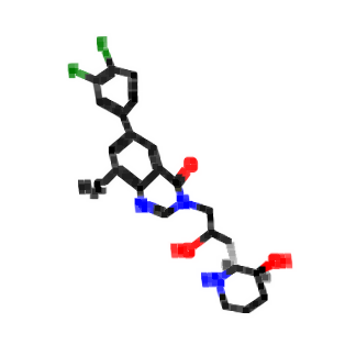 Cc1cc(-c2ccc(F)c(F)c2)cc2c(=O)n(CC(O)C[C@H]3NCCC[C@@H]3O)cnc12